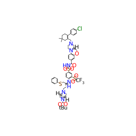 CC1(C)CCC(c2ccc(Cl)cc2)=C(CN2CCN3c4ccc(C(=O)NS(=O)(=O)c5ccc(N[C@H](CCN6C[C@@H]7C[C@H]6CN7C(=O)OC(C)(C)C)CSc6ccccc6)c(S(=O)(=O)C(F)(F)F)c5)cc4OC[C@@H]3C2)C1